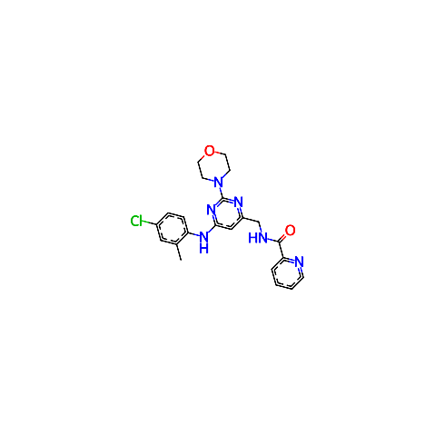 Cc1cc(Cl)ccc1Nc1cc(CNC(=O)c2ccccn2)nc(N2CCOCC2)n1